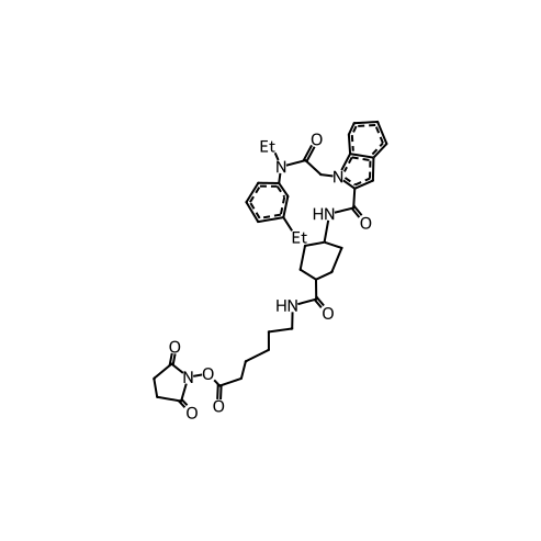 CCc1cccc(N(CC)C(=O)Cn2c(C(=O)NC3CCC(C(=O)NCCCCCC(=O)ON4C(=O)CCC4=O)CC3)cc3ccccc32)c1